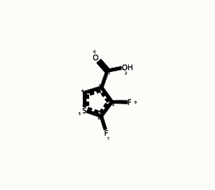 O=C(O)c1csc(F)c1F